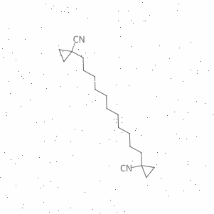 [C-]#[N+]C1(CCCCCCCCCCCC2(C#N)CC2)CC1